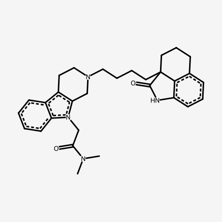 CN(C)C(=O)Cn1c2c(c3ccccc31)CCN(CCCCC13CCCc4cccc(c41)NC3=O)C2